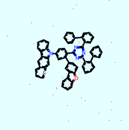 c1ccc(-c2ccccc2-c2nc(-c3ccccc3-c3ccccc3)nc(-c3ccc(-n4c5ccccc5c5cc6ccccc6cc54)cc3-c3ccc4oc5ccccc5c4c3)n2)cc1